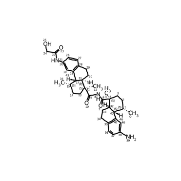 C[C@H]1CC[C@](C)(C(=O)NC(=O)[C@@]2(C)CC[C@H](C)[C@@H]3c4cc(NC(=O)CO)ccc4CC[C@H]32)[C@@H]2CCc3ccc(N)cc3[C@H]21